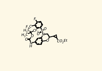 CCOC(=O)C1CC1C1CN(S(=O)(=O)c2ccc(F)c(C(F)(F)F)c2)c2cc(NC(=O)OC(C)(C)C(F)(F)F)ccc2O1